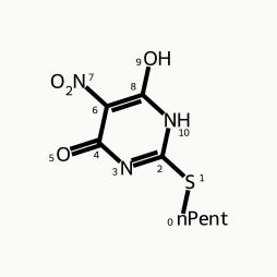 CCCCCSc1nc(=O)c([N+](=O)[O-])c(O)[nH]1